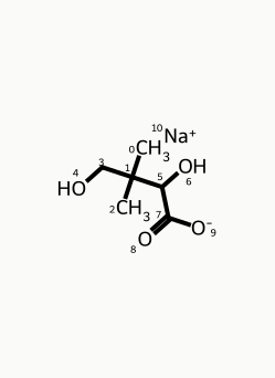 CC(C)(CO)C(O)C(=O)[O-].[Na+]